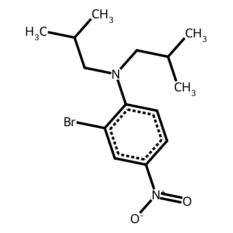 CC(C)CN(CC(C)C)c1ccc([N+](=O)[O-])cc1Br